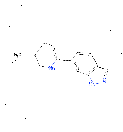 CC1CC=C(c2ccc3cn[nH]c3c2)NC1